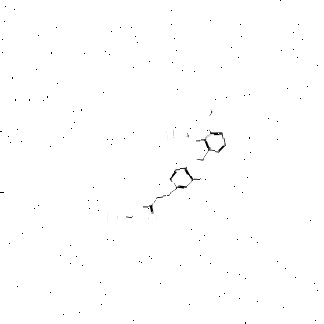 CCOC(=O)CCc1ccc(OCc2cccc(OCC)c2OC)c(F)c1